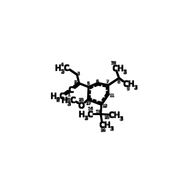 C=C=C(CC)c1cc(C(C)C)cc(C(C)(C)C)c1OC